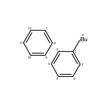 [CH2]CC(C)c1ccccc1.[c]1ccccc1